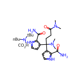 CCCCN(C(=O)O)C(C)(C)C.CN(C)C(=O)CCC(c1cc[nH]c1C(N)=O)(c1cc[nH]c1C(N)=O)N(C)C